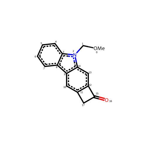 COCn1c2ccccc2c2cc3c(cc21)C(=O)C3